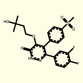 CC(C)(O)CCOc1c(-c2ccc(S(C)(=O)=O)cc2)c(-c2ccc(F)c(F)c2)n[nH]c1=O